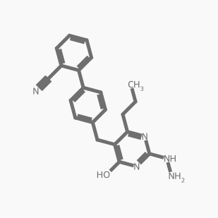 CCCc1nc(NN)nc(O)c1Cc1ccc(-c2ccccc2C#N)cc1